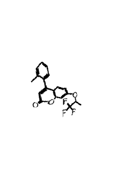 Cc1ccccc1-c1cc(=O)oc2cc(OC(C)C(F)(F)F)ccc12